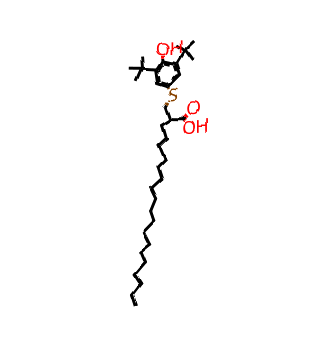 CCCCCCCCCCCCCCCCCCC(CSc1cc(C(C)(C)C)c(O)c(C(C)(C)C)c1)C(=O)O